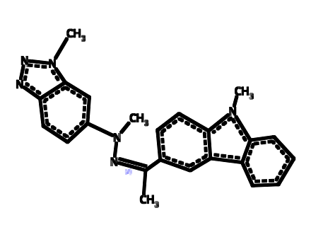 C/C(=N/N(C)c1ccc2nnn(C)c2c1)c1ccc2c(c1)c1ccccc1n2C